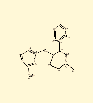 COc1cccc(OC2CCN(C)CC2c2ccccc2)c1